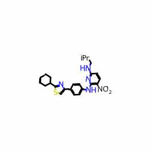 CC(C)CNc1ccc([N+](=O)[O-])c(Nc2ccc(-c3csc(C4CCCCC4)n3)cc2)n1